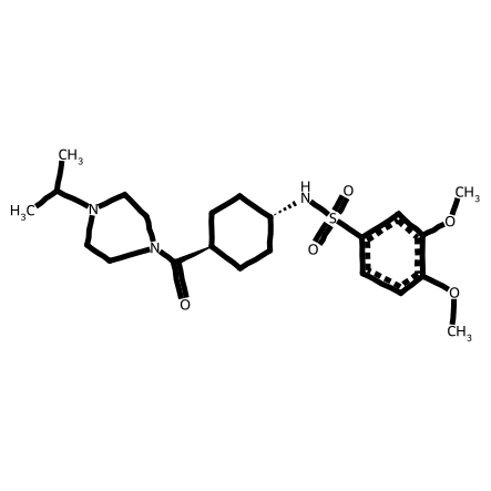 COc1ccc(S(=O)(=O)N[C@H]2CC[C@H](C(=O)N3CCN(C(C)C)CC3)CC2)cc1OC